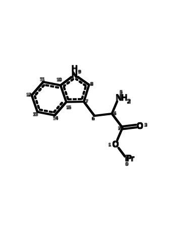 CC(C)OC(=O)C(N)Cc1c[nH]c2ccccc12